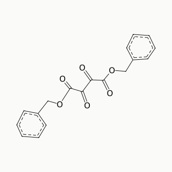 O=C(OCc1ccccc1)C(=O)C(=O)C(=O)OCc1ccccc1